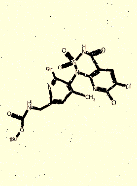 Cc1cc(CNC(=O)OC(C)(C)C)nc(C(C)C)c1N1c2nc(Cl)c(Cl)cc2C(=O)NS1(=O)=O